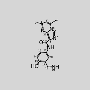 Cc1cc(C)n2cnc(C(=O)Nc3ccc(O)c(C=N)c3)c2n1